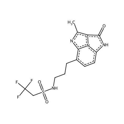 Cc1nc2c(CCCNS(=O)(=O)CC(F)(F)F)ccc3[nH]c(=O)c1n32